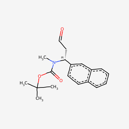 CN(C(=O)OC(C)(C)C)[C@H](CC=O)c1ccc2ccccc2c1